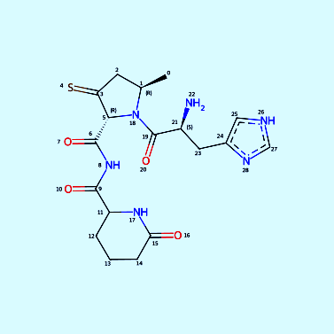 C[C@@H]1CC(=S)[C@@H](C(=O)NC(=O)C2CCCC(=O)N2)N1C(=O)[C@@H](N)Cc1c[nH]cn1